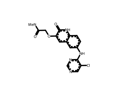 CNC(=O)COc1cc2cc(Nc3ncncc3Cl)ccc2[nH]c1=O